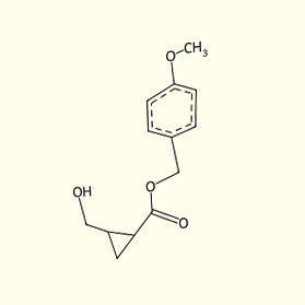 COc1ccc(COC(=O)C2CC2CO)cc1